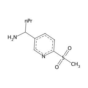 CCCC(N)c1ccc(S(C)(=O)=O)nc1